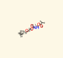 C=C(C)C(=O)OCCNC(=O)OCCOCCC[Si](C)(C)C